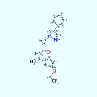 CC(NC(=O)C1CC1c1nc(-c2ccccc2)c[nH]1)c1ccc(OCC(F)(F)F)s1